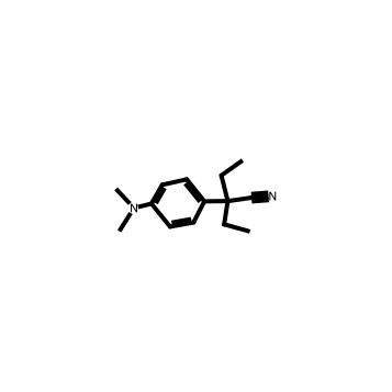 CCC(C#N)(CC)c1ccc(N(C)C)cc1